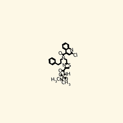 CN(C)S(=O)(=O)NC(=O)c1csc(CN(CCCc2ccccc2)C(=O)c2cc(Cl)nc3ccccc23)n1